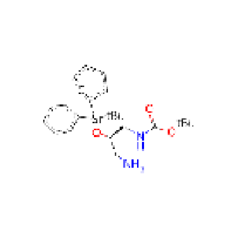 CC(C)(C)OC(=O)NC[C@@H](CN)O[Si](c1ccccc1)(c1ccccc1)C(C)(C)C